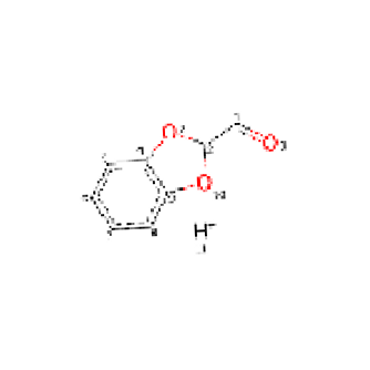 O=CC1Oc2ccccc2O1.[H+]